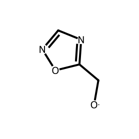 [O]Cc1ncno1